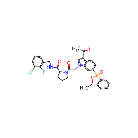 CCOP(=O)(c1ccccc1)c1ccc2c(C(C)=O)cn(CC(=O)N3CCC[C@H]3C(=O)NCc3cccc(Cl)c3F)c2c1